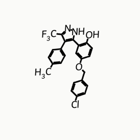 Cc1ccc(-c2c(C(F)(F)F)n[nH]c2-c2cc(OCc3ccc(Cl)cc3)ccc2O)cc1